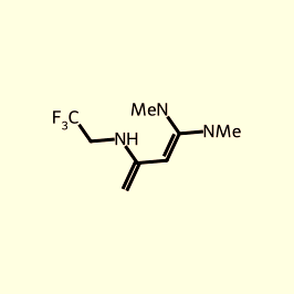 C=C(C=C(NC)NC)NCC(F)(F)F